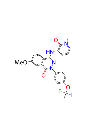 COc1ccc2c(Nc3cccn(C)c3=O)nn(-c3ccc(OC(C)(F)I)cc3)c(=O)c2c1